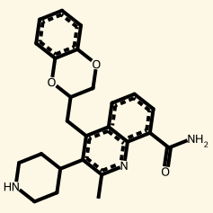 Cc1nc2c(C(N)=O)cccc2c(CC2COc3ccccc3O2)c1C1CCNCC1